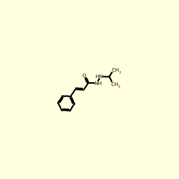 CC(C)NNC(=O)C=Cc1ccccc1